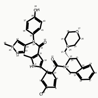 Cc1[nH]c(-c2cc(Cl)ccc2C(=O)N2Cc3ccccc3C[C@H]2CN2CCOCC2)cc1C(=O)N(c1ccc(O)cc1)c1cnn(C)c1